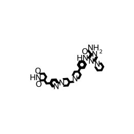 NC(=O)c1ncc(N2CCCCC2)nc1Nc1ccc(C2CCN(CC3CCN(c4ccc(CC5CCC(=O)NC5=O)cn4)CC3)CC2)cc1